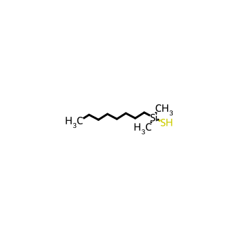 CCCCCCCC[Si](C)(C)S